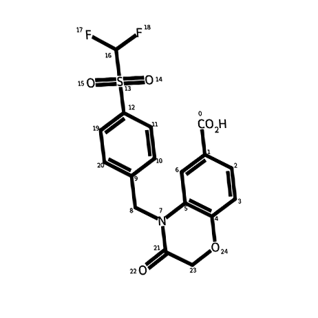 O=C(O)c1ccc2c(c1)N(Cc1ccc(S(=O)(=O)C(F)F)cc1)C(=O)CO2